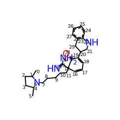 CC1CCC(C)N1CCCCCC1(C(=N)N)C=CC=C(C2CNc3ccccc3C2)C1=O